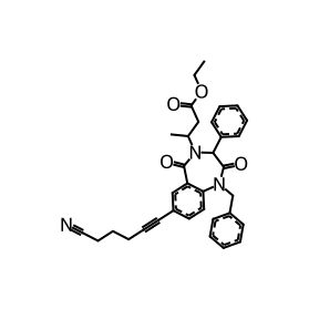 CCOC(=O)CC(C)N1C(=O)c2cc(C#CCCCC#N)ccc2N(Cc2ccccc2)C(=O)C1c1ccccc1